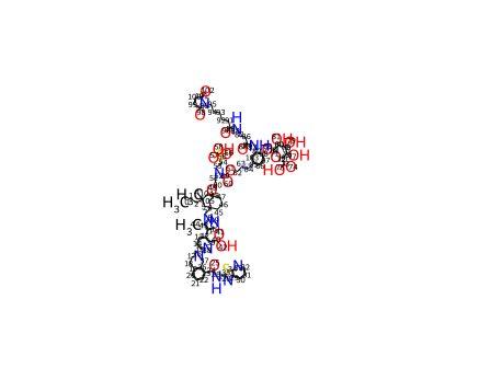 CCCC1(C)CC2(Cn3ncc(-c4ccc(N5CCc6cccc(C(=O)Nc7nc8cccnc8s7)c6C5)nc4C(=O)O)c3C)CCCC(OCCN(CCS(=O)(=O)O)C(=O)OC/C=C/c3ccc(O[C@@H]4O[C@H](C(=O)O)[C@@H](O)[C@H](O)[C@H]4O)c(NC(=O)CCNC(=O)CCCCCN4C(=O)C=CC4=O)c3)(C1)C2